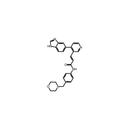 O=C(C=Cc1cnccc1-c1ccc2[nH]cnc2c1)Nc1ccc(CN2CCOCC2)cc1